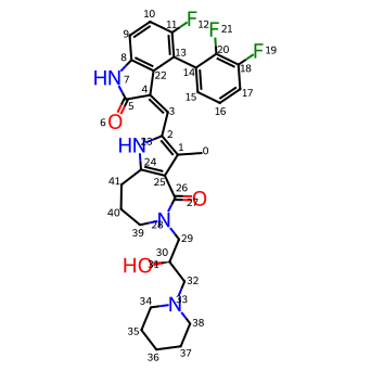 Cc1c(/C=C2\C(=O)Nc3ccc(F)c(-c4cccc(F)c4F)c32)[nH]c2c1C(=O)N(C[C@H](O)CN1CCCCC1)CCC2